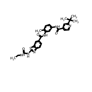 CCNC(=O)Nc1nc2ccc(C(=O)Nc3cc(NC(=O)c4ccnc(C(C)(C)C)c4)ccc3C)cc2s1